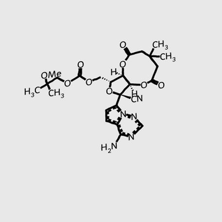 COC(C)(C)COC(=O)OC[C@H]1O[C@@](C#N)(c2ccc3c(N)ncnn23)[C@@H]2OC(=O)CC(C)(C)CC(=O)O[C@@H]21